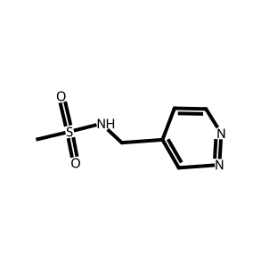 CS(=O)(=O)NCc1ccnnc1